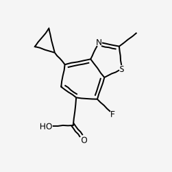 Cc1nc2c(C3CC3)cc(C(=O)O)c(F)c2s1